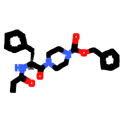 C=CC(=O)N[C@H](Cc1ccccc1)C(=O)N1CCN(C(=O)OCc2ccccc2)CC1